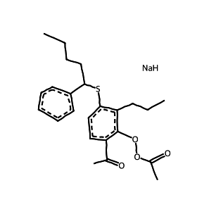 CCCCC(Sc1ccc(C(C)=O)c(OOC(C)=O)c1CCC)c1ccccc1.[NaH]